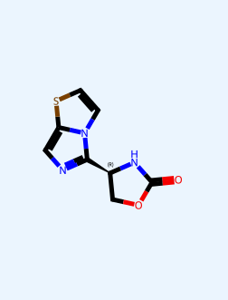 O=C1N[C@H](c2ncc3sccn23)CO1